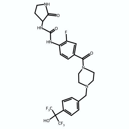 O=C(Nc1ccc(C(=O)N2CCN(Cc3ccc(C(O)(C(F)(F)F)C(F)(F)F)cc3)CC2)cc1F)NC1CCNC1=O